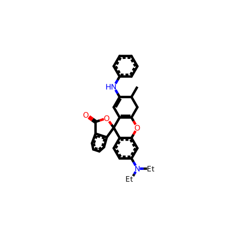 CCN(CC)c1ccc2c(c1)OC1=C(C=C(Nc3ccccc3)C(C)C1)C21OC(=O)c2ccccc21